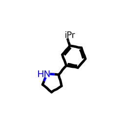 CC(C)c1cccc(C2CCCN2)c1